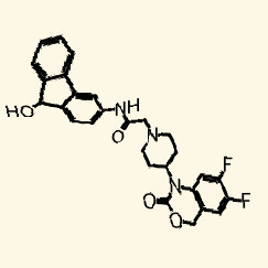 O=C(CN1CCC(N2C(=O)OCc3cc(F)c(F)cc32)CC1)Nc1ccc2c(c1)-c1ccccc1C2O